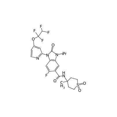 CC(C)n1c(=O)n(-c2cc(OC(F)(F)C(F)F)ccn2)c2cc(F)c(C(=O)NC3(C)CCS(=O)(=O)CC3)cc21